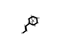 CC=CC1CC2CCC1CC2